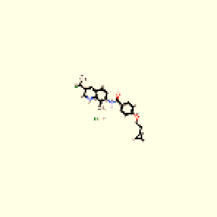 Cc1c(NC(=O)c2ccc(OCCC3CC3)cc2)ccc2cc(C(C)Cl)cnc12.Cl